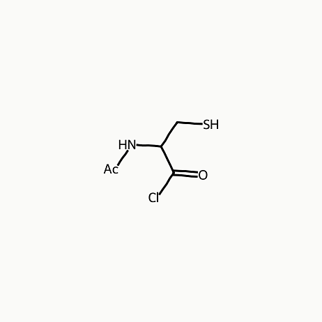 CC(=O)NC(CS)C(=O)Cl